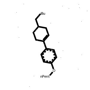 CCCCCOc1ccc(C2=CCC(CC(C)CC)CC2)cc1